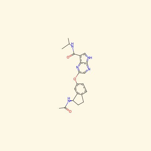 CC(=O)N[C@@H]1CCc2ccc(Oc3cnc4[nH]cc(C(=O)NC(C)C)c4n3)cc21